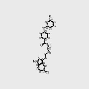 O=C(N=[N+]=NCCc1c[nH]c2ncc(Cl)cc12)c1ccc(Cc2cccc(F)c2)cc1